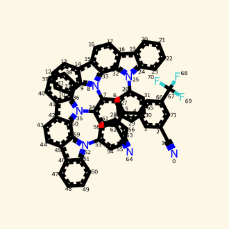 N#Cc1cc(-c2cc(-n3c4ccccc4c4ccc5c6ccccc6n(-c6ccccc6)c5c43)c(-n3c4ccccc4c4ccc5c6ccccc6n(-c6ccccc6)c5c43)cc2C#N)cc(C(F)(F)F)c1